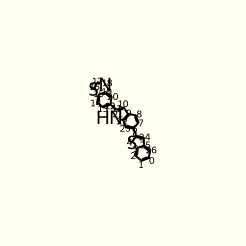 c1ccc2sc(-c3ccc4cc(-c5ccc6scnc6c5)[nH]c4c3)cc2c1